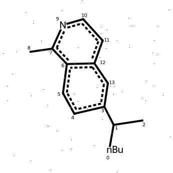 CCCCC(C)c1ccc2c(C)nccc2c1